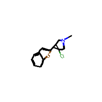 CN1CC2C(c3cc4ccccc4s3)C2(Cl)C1